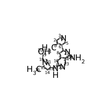 Cc1ccncc1-c1cc2cc(Nc3cc(C)n(CCO)c3)ncc2c(N)n1